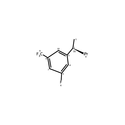 CC(C)[C@H](C)c1cc(F)cc(C(F)(F)F)c1